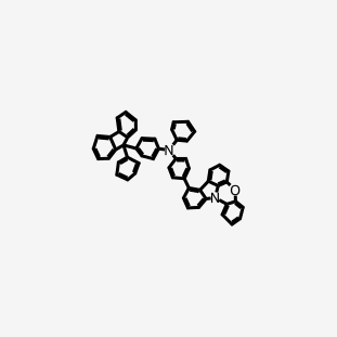 c1ccc(N(c2ccc(-c3cccc4c3c3cccc5c3n4-c3ccccc3O5)cc2)c2ccc(C3(c4ccccc4)c4ccccc4-c4ccccc43)cc2)cc1